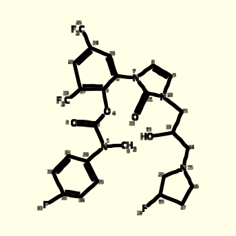 CN(C(=O)Oc1c(-n2ccn(CC(O)CN3CCC(F)C3)c2=O)cc(C(F)(F)F)cc1C(F)(F)F)c1ccc(F)cc1